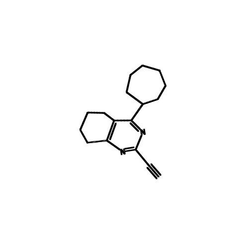 C#Cc1nc2c(c(C3CCCCCC3)n1)CCCC2